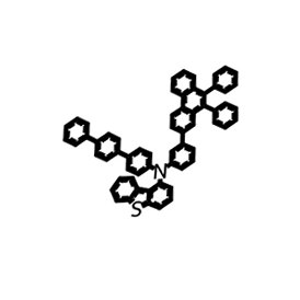 c1ccc(-c2ccc(-c3ccc(N(c4cccc(-c5ccc6c(c5)c(-c5ccccc5)c(-c5ccccc5)c5ccccc56)c4)c4cccc5sc6ccccc6c45)cc3)cc2)cc1